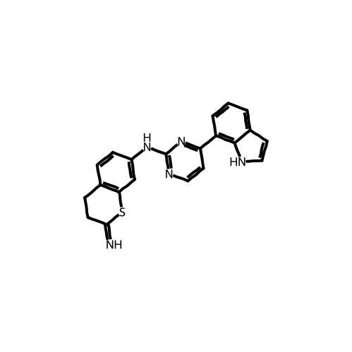 N=C1CCc2ccc(Nc3nccc(-c4cccc5cc[nH]c45)n3)cc2S1